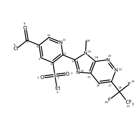 CCS(=O)(=O)c1cc(C(=O)Cl)cnc1-c1nc2cc(C(F)(F)C(F)(F)F)nnc2n1C